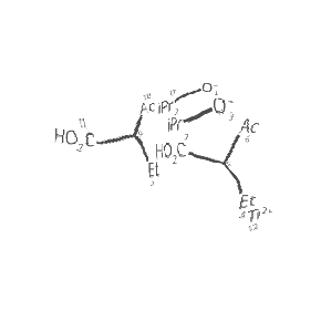 CC(C)[O-].CC(C)[O-].CCC(C(C)=O)C(=O)O.CCC(C(C)=O)C(=O)O.[Ti+2]